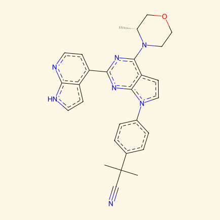 C[C@@H]1COCCN1c1nc(-c2ccnc3[nH]ccc23)nc2c1ccn2-c1ccc(C(C)(C)C#N)cc1